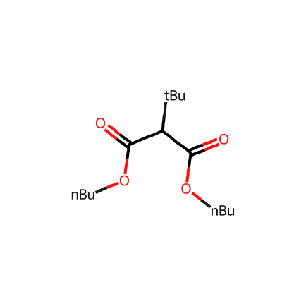 CCCCOC(=O)C(C(=O)OCCCC)C(C)(C)C